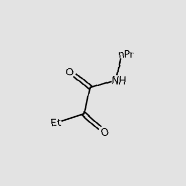 CCCNC(=O)C(=O)CC